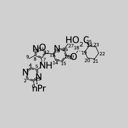 CCCc1cncc(Nc2c(C)noc2-c2ccc(OC[C@H]3CCCC[C@@H]3C(=O)O)c(C)n2)n1